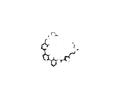 COc1nc(-c2ccnc(-c3cccc(NC(=O)c4cc(CCN(C)CCCF)n[nH]4)c3Cl)c2Cl)ccc1CNC[C@H]1CCC(=O)N1